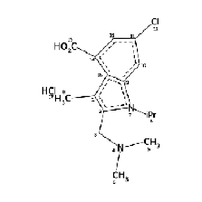 Cc1c(CN(C)C)n(C(C)C)c2cc(Cl)cc(C(=O)O)c12.Cl